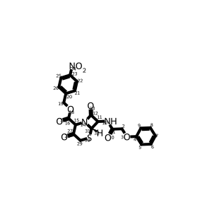 O=C(COc1ccccc1)NC1C(=O)N2C(C(=O)OCc3ccc([N+](=O)[O-])cc3)C(=O)CS[C@@H]12